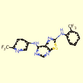 FC(F)(F)c1ccc(Nc2ncnc3sc(Nc4ccccc4C(F)(F)F)nc23)cn1